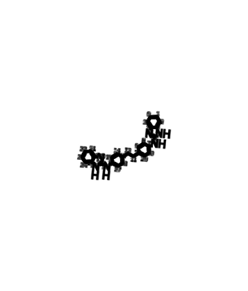 c1ccc2[nH]c(Nc3ccc(CCc4ccc(Nc5nc6ccccc6[nH]5)cc4)cc3)nc2c1